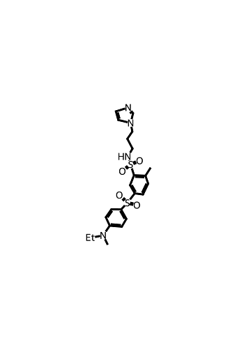 CCN(C)c1ccc(S(=O)(=O)c2ccc(C)c(S(=O)(=O)NCCCn3ccnc3)c2)cc1